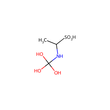 CC(NC(O)(O)O)S(=O)(=O)O